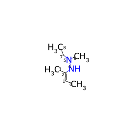 C/C=C(/C)NN(C)CC